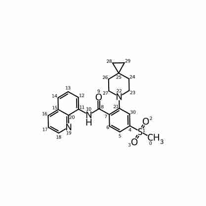 CS(=O)(=O)c1ccc(C(=O)Nc2cccc3cccnc23)c(N2CCC3(CC2)CC3)c1